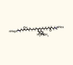 C=C(CC/C=C/CCCCCCC)CCCCCCCCC(CCCCCCCC(=O)CC/C=C/CCCCCC)CN(C)CCN(C)C